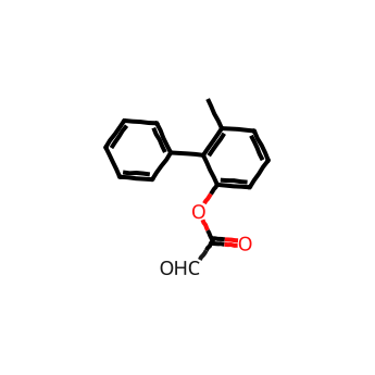 Cc1cccc(OC(=O)C=O)c1-c1ccccc1